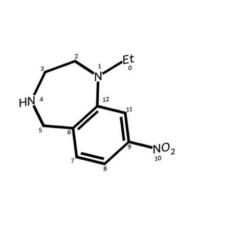 CCN1CCNCc2ccc([N+](=O)[O-])cc21